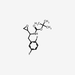 CC(C)(C)OC(=O)NC(Cc1cc(F)ccc1F)C1CO1